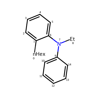 CCCCCCc1ccccc1N(CC)c1ccccc1